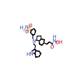 NS(=O)(=O)c1cccc(CN(CCc2c[nH]c3ccccc23)C2CCc3cc(/C=C/C(=O)NO)ccc32)c1